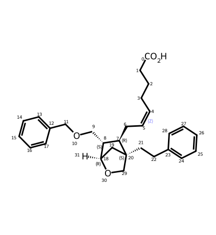 O=C(O)CCC/C=C\C[C@@H]1[C@@H](COCc2ccccc2)[C@H]2C[C@]1(CCc1ccccc1)CO2